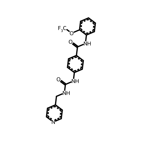 O=C(NCc1ccncc1)Nc1ccc(C(=O)Nc2ccccc2OC(F)(F)F)cc1